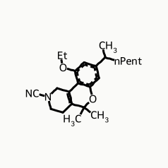 CCCCCC(C)c1cc(OCC)c2c(c1)OC(C)(C)C1=C2CN(C#N)CC1